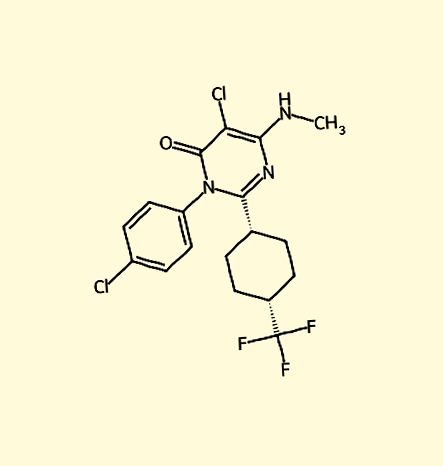 CNc1nc([C@H]2CC[C@@H](C(F)(F)F)CC2)n(-c2ccc(Cl)cc2)c(=O)c1Cl